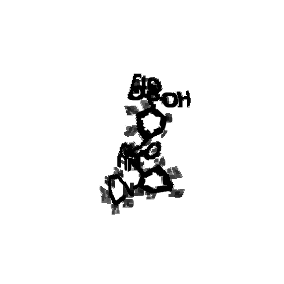 CCOP(=O)(O)c1ccc(S(=O)(=O)Nc2ccccc2N2CCCCC2)cc1